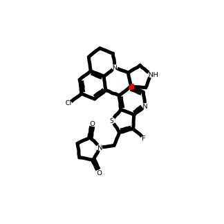 O=C1CCC(=O)N1Cc1sc2c(-c3cc(Cl)cc4c3N(C3CCNC3)CCC4)ccnc2c1F